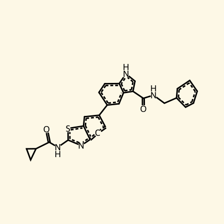 O=C(NCc1ccccc1)c1c[nH]c2ccc(-c3ccc4nc(NC(=O)C5CC5)sc4c3)cc12